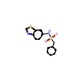 O=S(=O)(Cc1ccccc1)Nc1ccc2n[c]sc2c1